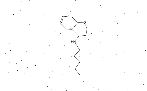 CCCCCNC1CCOc2ccccc21